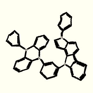 c1ccc(N2c3ccccc3N(c3cccc(-n4c5ccccc5c5ccc6c(ccn6-c6ccccc6)c54)c3)c3ccccc32)cc1